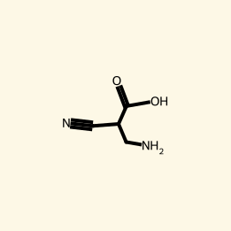 N#CC(CN)C(=O)O